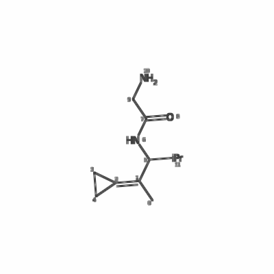 CC(=C1CC1)C(NC(=O)CN)C(C)C